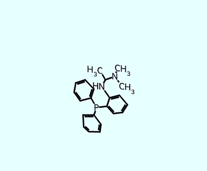 CC(Nc1ccccc1P(c1ccccc1)c1ccccc1)N(C)C